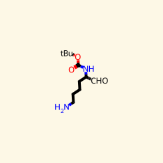 CC(C)(C)OC(=O)NC(C=O)CCCCN